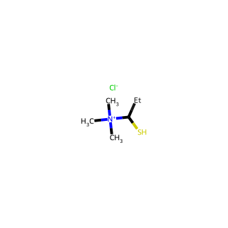 CCC(S)[N+](C)(C)C.[Cl-]